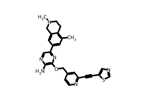 Cc1cc(-c2cnc(N)c(OCc3ccnc(C#Cc4cncs4)c3)n2)cc2c1CCN(C)C2